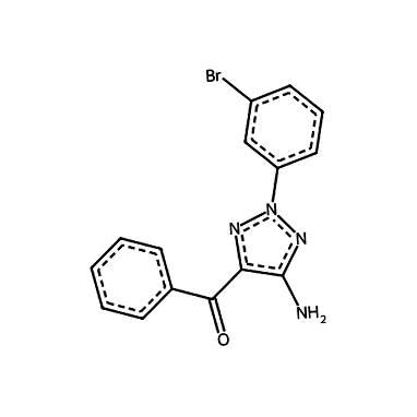 Nc1nn(-c2cccc(Br)c2)nc1C(=O)c1ccccc1